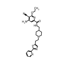 CCOc1nc(C(=O)NCC2CCN(CCc3cnc(-c4ccccn4)s3)CC2)cc(N)c1C#N